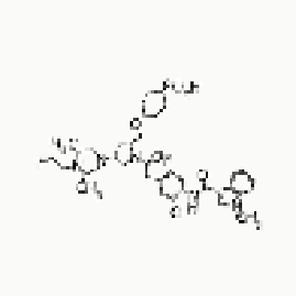 CC1CN([C@H]2C[C@@H](CO[C@H]3CC[C@H](C(=O)O)CC3)N(C(=O)Cc3cc(Cl)c(NC(=O)c4cn(C)c5ccccc45)cc3F)C2)C[C@@H](C)N1CCF